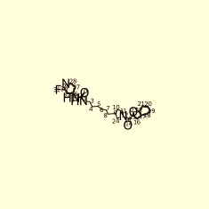 O=C(NCCCCCCC1CCN(C(=O)c2cc3ccccc3o2)C1)Nc1ccnc(F)c1